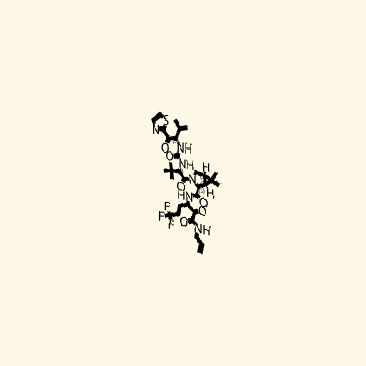 C=CCNC(=O)C(=O)C(CCC(F)(F)F)NC(=O)[C@@H]1[C@@H]2[C@H](CN1C(=O)[C@@H](NC(=O)N[C@H](C(=O)c1nccs1)C(C)C)C(C)(C)C)C2(C)C